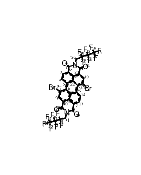 O=C1c2ccc3c4c(Br)cc5c6c(ccc(c7c(Br)cc(c2c37)C(=O)N1CC(F)(F)C(F)(F)C(F)(F)F)c64)C(=O)N(CC(F)(F)C(F)(F)C(F)(F)F)C5=O